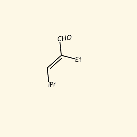 CC/C(C=O)=C\C(C)C